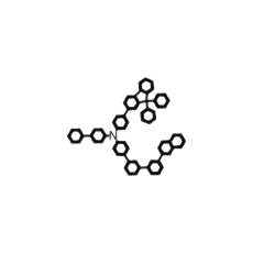 c1ccc(-c2ccc(N(c3ccc(-c4cccc(-c5cccc(-c6ccc7ccccc7c6)c5)c4)cc3)c3ccc(-c4ccc5c(c4)C(c4ccccc4)(c4ccccc4)c4ccccc4-5)cc3)cc2)cc1